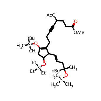 CCCCC(C)(C/C=C/C1C(CCC#CC(CCC(=O)OC)OC(C)=O)=C(O[Si](C)(C)C(C)(C)C)CC1O[Si](CC)(CC)CC)O[Si](C)(C)C